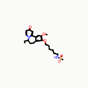 CCC1CCc2cc(OCCCCCCNS(C)(=O)=O)c(OC)cc2-c2cc(=O)ccn21